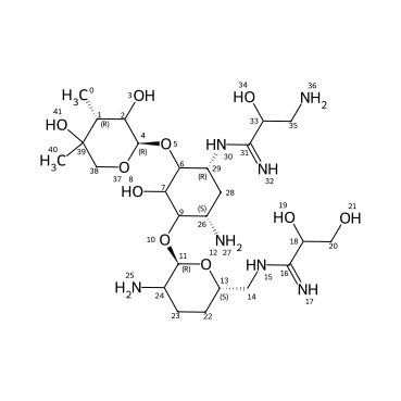 C[C@@H]1C(O)[C@@H](OC2C(O)C(O[C@H]3O[C@H](CNC(=N)C(O)CO)CCC3N)[C@@H](N)C[C@H]2NC(=N)C(O)CN)OCC1(C)O